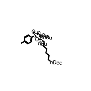 CCCCCCCCCCCCCCCCP(CCCC)(CCCC)(CCCC)OS(=O)(=O)c1ccc(C)cc1